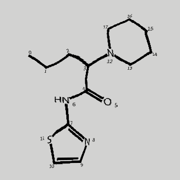 CCCC(C(=O)Nc1nccs1)N1CCCCC1